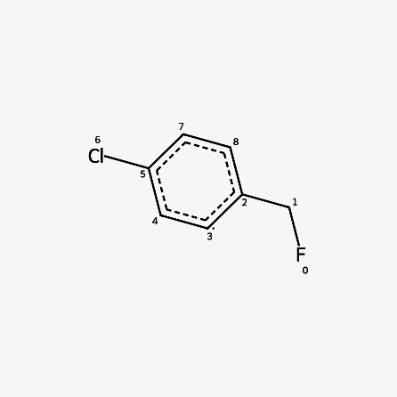 FCc1[c]cc(Cl)cc1